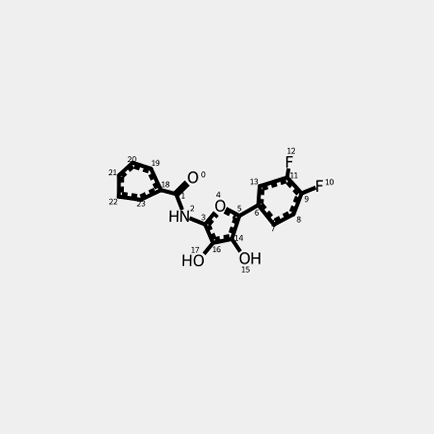 O=C(Nc1oc(-c2ccc(F)c(F)c2)c(O)c1O)c1ccccc1